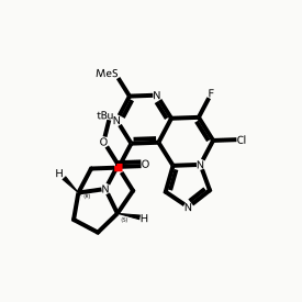 CSc1nc(N2C[C@H]3CC[C@@H](C2)N3C(=O)OC(C)(C)C)c2c(n1)c(F)c(Cl)n1cncc21